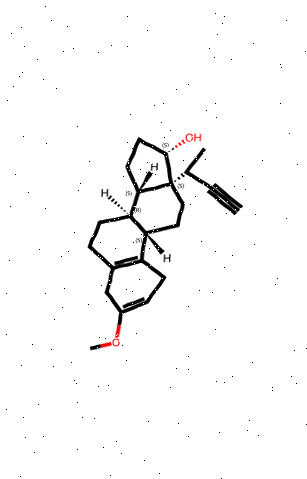 C#CC(C)[C@]12CC[C@@H]3C4=C(CC[C@H]3[C@@H]1CC[C@@H]2O)CC(OC)=CC4